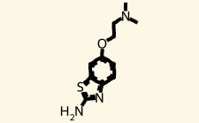 CN(C)CCOc1ccc2nc(N)sc2c1